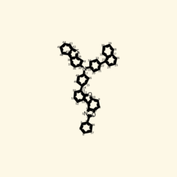 c1ccc(-c2nc3c(ccc4oc5c(-c6ccc(N(c7ccc(-c8cccc9ccccc89)cc7)c7ccc8c(c7)sc7ccccc78)cc6)cccc5c43)o2)cc1